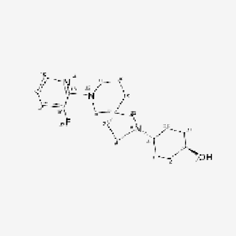 O[C@H]1CC[C@H](N2CC[C@]3(CCCN(c4ncccc4F)C3)C2)CC1